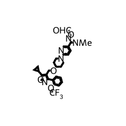 CN/C(=N\OC=O)c1ccc(N2CCC(OCc3c(-c4ccccc4OC(F)(F)F)noc3C3CC3)CC2)nc1